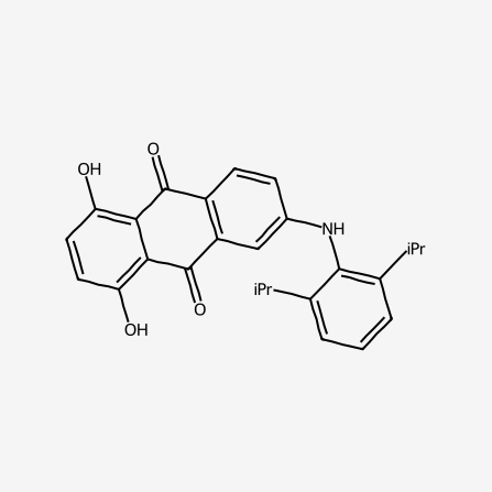 CC(C)c1cccc(C(C)C)c1Nc1ccc2c(c1)C(=O)c1c(O)ccc(O)c1C2=O